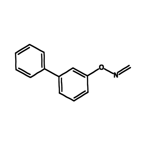 C=NOc1cccc(-c2ccccc2)c1